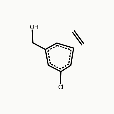 C=C.OCc1cccc(Cl)c1